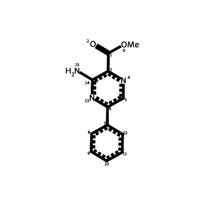 COC(=O)c1ncc(-c2ccccc2)nc1N